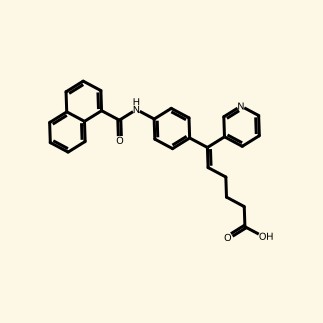 O=C(O)CCCC=C(c1ccc(NC(=O)c2cccc3ccccc23)cc1)c1cccnc1